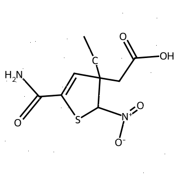 CCC1(CC(=O)O)C=C(C(N)=O)SC1[N+](=O)[O-]